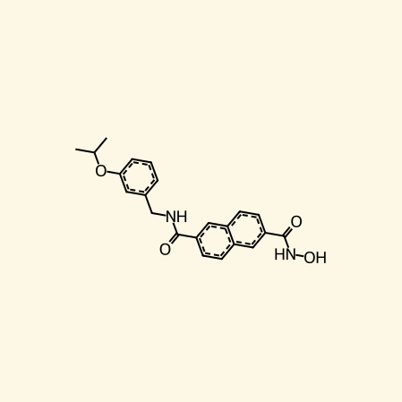 CC(C)Oc1cccc(CNC(=O)c2ccc3cc(C(=O)NO)ccc3c2)c1